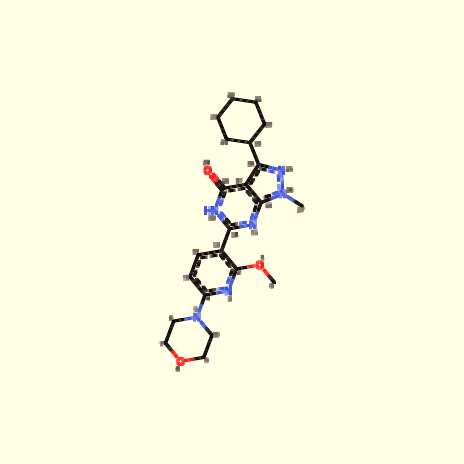 COc1nc(N2CCOCC2)ccc1-c1nc2c(c(C3CCCCC3)nn2C)c(=O)[nH]1